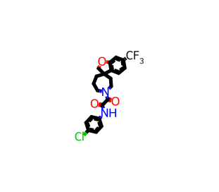 O=C(Nc1ccc(Cl)cc1)C(=O)N1CCCC2(CC1)COc1cc(C(F)(F)F)ccc12